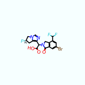 O=C(O)C(c1ncn2c1C[C@@H](F)C2)N1Cc2c(cc(Br)cc2C(F)F)C1=O